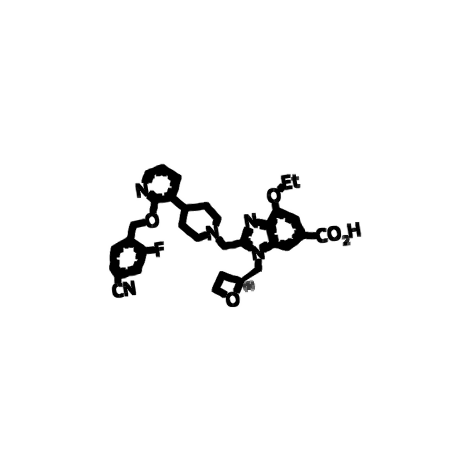 CCOc1cc(C(=O)O)cc2c1nc(CN1CCC(c3cccnc3OCc3ccc(C#N)cc3F)CC1)n2C[C@@H]1CCO1